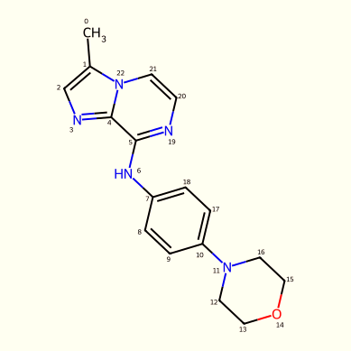 Cc1cnc2c(Nc3ccc(N4CCOCC4)cc3)nccn12